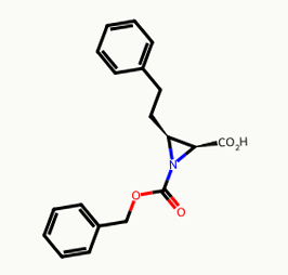 O=C(O)[C@@H]1[C@H](CCc2ccccc2)N1C(=O)OCc1ccccc1